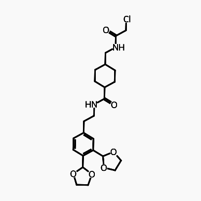 O=C(CCl)NCC1CCC(C(=O)NCCc2ccc(C3OCCO3)c(C3OCCO3)c2)CC1